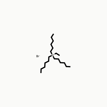 CCCCCC[N+](CC)(CCCCCC)CCCCCC.[Br-]